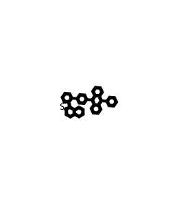 c1ccc(-c2c3ccccc3c(-c3ccc(-c4cccc5sc6ccc7ccccc7c6c45)cc3)c3ccccc23)cc1